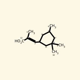 C/C(=C\C1CC(C)CC(C)(C)C1)C(=O)O